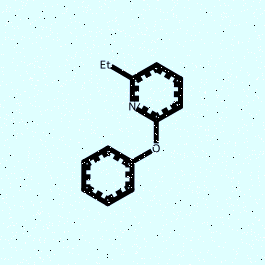 CCc1cccc(Oc2ccccc2)n1